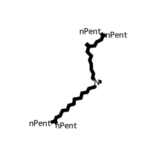 C=C(CCCCCCCN(C)CCCCCCCCCCCCC(CCCCC)CCCCC)CCCC(CCCCC)CCCCC